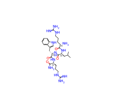 CC(C)C[C@H](NC(=O)[C@@H](N)CCCNC(=N)N)C(=O)N[C@@H](Cc1c[nH]c2ccccc12)C(=O)N[C@@H](CCCNC(=N)N)C(N)=O